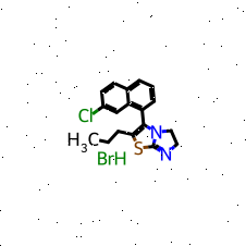 Br.CCCC1=C(c2cccc3ccc(Cl)cc23)N2CCN=C2S1